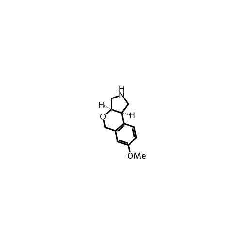 COc1ccc2c(c1)CO[C@H]1CNC[C@@H]21